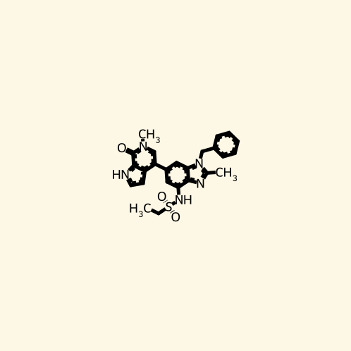 CCS(=O)(=O)Nc1cc(-c2cn(C)c(=O)c3[nH]ccc23)cc2c1nc(C)n2Cc1ccccc1